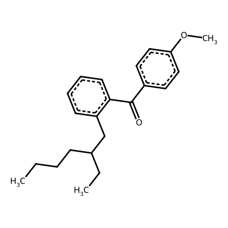 CCCCC(CC)Cc1ccccc1C(=O)c1ccc(OC)cc1